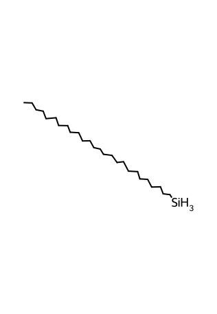 CCCCCCCCCCCCCCCCCCCCCCCCCC[SiH3]